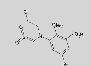 COc1c(C(=O)O)cc(Br)cc1N(C=S(=O)=O)CCCl